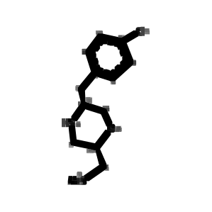 CSC[C@H]1CN[C@@H](Cc2ccc(Cl)cc2)CO1